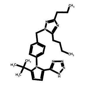 CCCCc1nc(CCC)nn1Cc1ccc(-n2c(-c3nnn[nH]3)ccc2C(C)(C)C)cc1